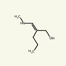 CCC/C(=C\NC)CO